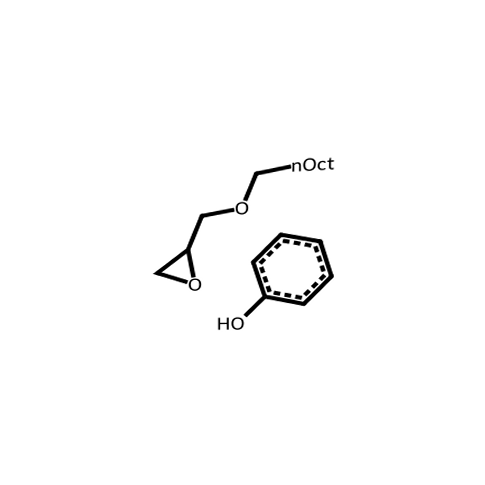 CCCCCCCCCOCC1CO1.Oc1ccccc1